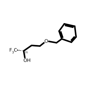 O[C@@H](CCOCc1ccccc1)C(F)(F)F